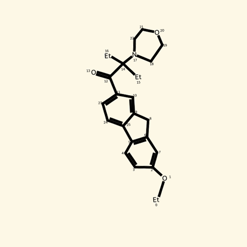 CCOc1ccc2c(c1)Cc1cc(C(=O)C(CC)(CC)N3CCOCC3)ccc1-2